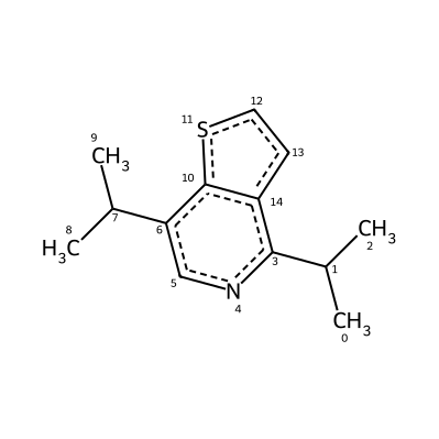 CC(C)c1ncc(C(C)C)c2sccc12